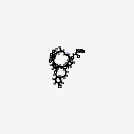 CNC(=O)CO[C@H]1/C=C/C[C@H](C)[C@@H](C)S(=O)(=O)NC(=O)c2ccc3c(c2)N(CCCCc2cc(Cl)ccc2CO3)C[C@@H]2CC[C@H]21